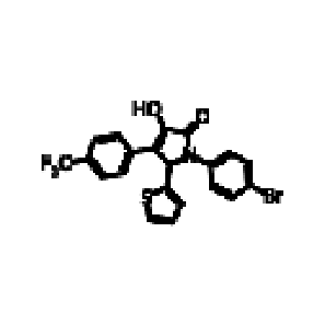 O=C1C(O)=C(c2ccc(C(F)(F)F)cc2)C(c2cccs2)N1c1ccc(Br)cc1